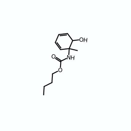 CCCCOC(=O)NC1(C)C=CC=CC1O